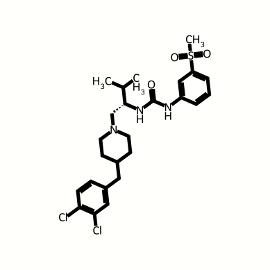 CC(C)[C@@H](CN1CCC(Cc2ccc(Cl)c(Cl)c2)CC1)NC(=O)Nc1cccc(S(C)(=O)=O)c1